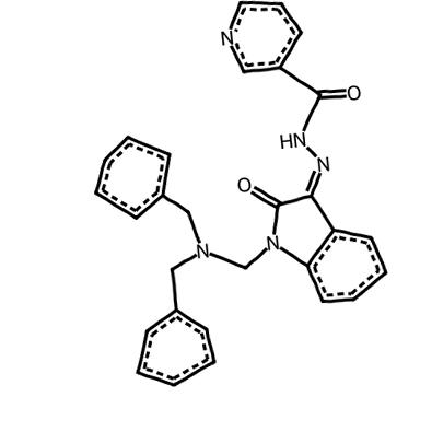 O=C(N/N=C1\C(=O)N(CN(Cc2ccccc2)Cc2ccccc2)c2ccccc21)c1cccnc1